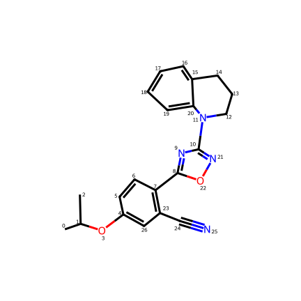 CC(C)Oc1ccc(-c2nc(N3CCCc4ccccc43)no2)c(C#N)c1